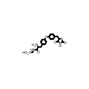 NC(Cc1ccc(Oc2ccc(CC3SC(=O)NC3=O)cc2)cc1)C(=O)NCC(=O)O